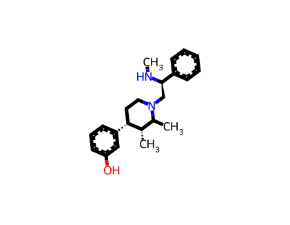 CN[C@H](CN1CC[C@@H](c2cccc(O)c2)[C@@H](C)C1C)c1ccccc1